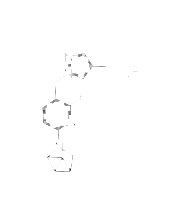 CCOC(=O)c1cnn(Cc2ccc(N3CC4C5C4C53)nc2C)c1